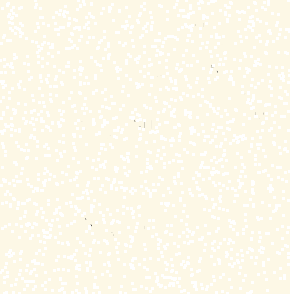 O=C(CCN1C(=O)C=CC1=O)NCC(=O)ON1C(=O)CCC1=O